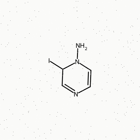 NN1C=CN=CC1I